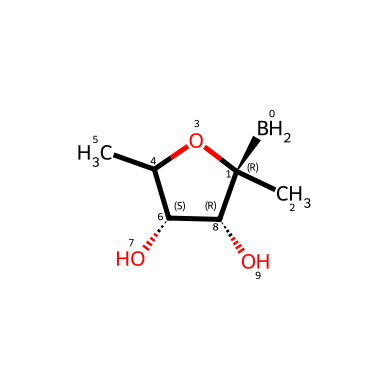 B[C@]1(C)OC(C)[C@@H](O)[C@H]1O